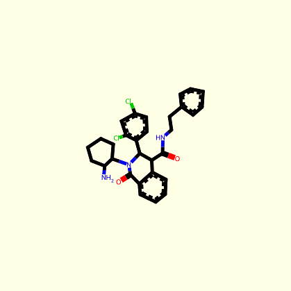 NC1CCCCC1N1C(=O)c2ccccc2C(C(=O)NCCc2ccccc2)C1c1ccc(Cl)cc1Cl